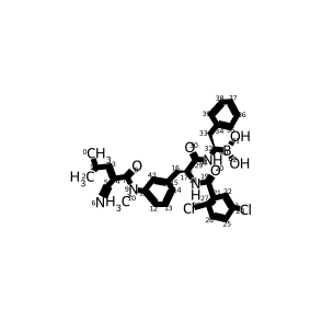 CC(C)C=C(C#N)C(=O)N(C)c1cccc(C[C@H](NC(=O)c2cc(Cl)ccc2Cl)C(=O)N[C@@H](Cc2ccccc2)B(O)O)c1